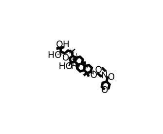 C[C@@H]1CC([C@H](O)C(C)(C)O)OC2C1[C@@]1(C)CCC34C[C@@]35CC[C@H](OC3CN(C(=O)C6CCOCC6)CCO3)C(C)(C)C5CC[C@H]4C1(C)[C@H]2O